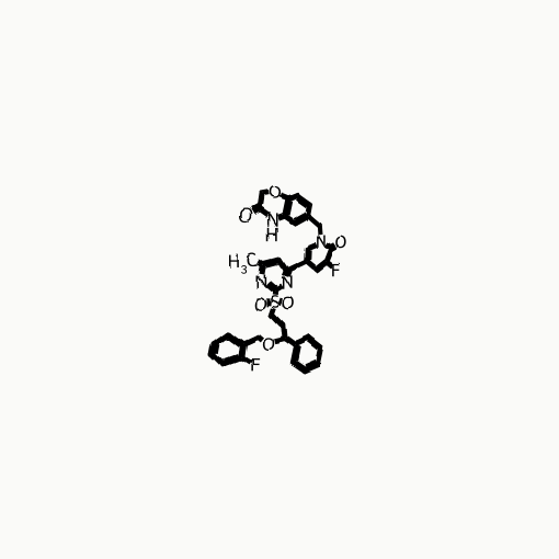 Cc1cc(-c2cc(F)c(=O)n(Cc3ccc4c(c3)NC(=O)CO4)c2)nc(S(=O)(=O)CCC(OCc2ccccc2F)c2ccccc2)n1